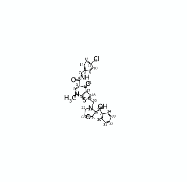 Cn1cc(C(=O)NCc2ccc(Cl)cc2)c(=O)c2cc(CN3CCOC[C@@H]3[C@H](O)c3ccccc3)sc21